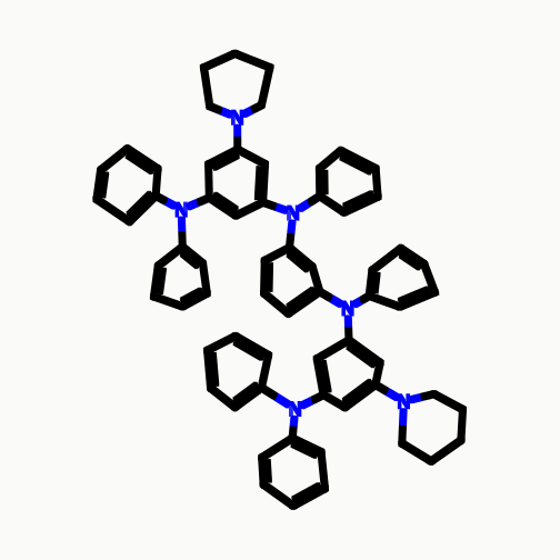 c1ccc(N(c2ccccc2)c2cc(N3CCCCC3)cc(N(c3ccccc3)c3cccc(N(c4ccccc4)c4cc(N5CCCCC5)cc(N(c5ccccc5)c5ccccc5)c4)c3)c2)cc1